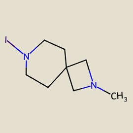 CN1CC2(CCN(I)CC2)C1